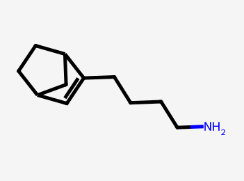 NCCCCC1=CC2CCC1C2